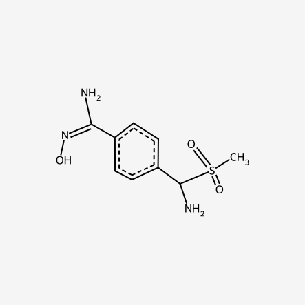 CS(=O)(=O)C(N)c1ccc(/C(N)=N\O)cc1